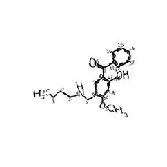 CCCCNCc1cc(C(=O)c2ccccc2)c(O)cc1OC